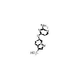 Nc1nccc(Oc2ccc3c(C(=O)O)cnn3c2)n1